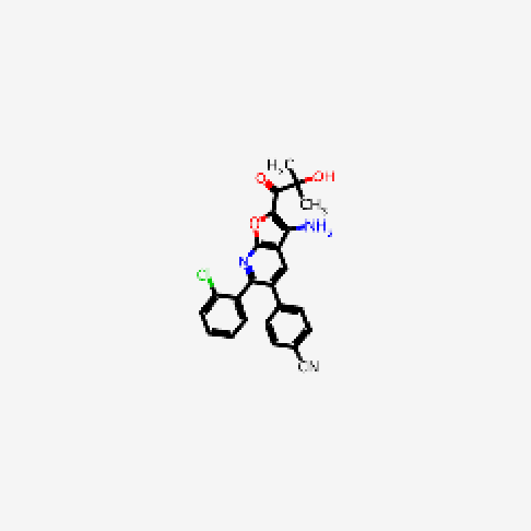 CC(C)(O)C(=O)c1oc2nc(-c3ccccc3Cl)c(-c3ccc(C#N)cc3)cc2c1N